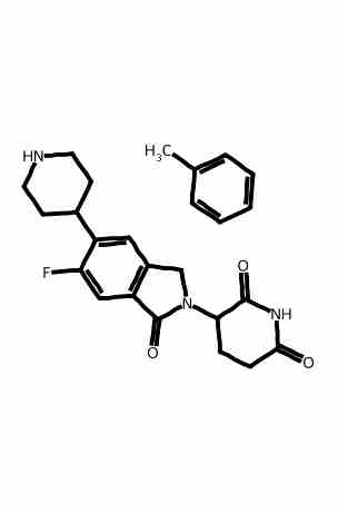 Cc1ccccc1.O=C1CCC(N2Cc3cc(C4CCNCC4)c(F)cc3C2=O)C(=O)N1